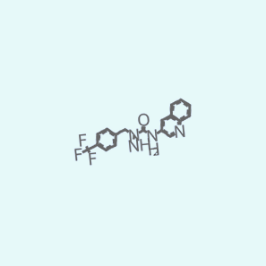 NN(Cc1ccc(C(F)(F)F)cc1)C(=O)Nc1cnc2ccccc2c1